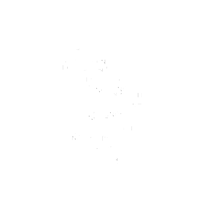 CC#N.CC(Br)C#N.CC(Br)C#N.CC(Br)CC#N.CCC(Br)C(Br)C#N.N#CCCCBr